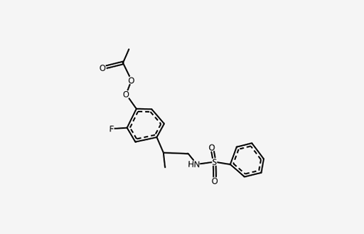 CC(=O)OOc1ccc(C(C)CNS(=O)(=O)c2ccccc2)cc1F